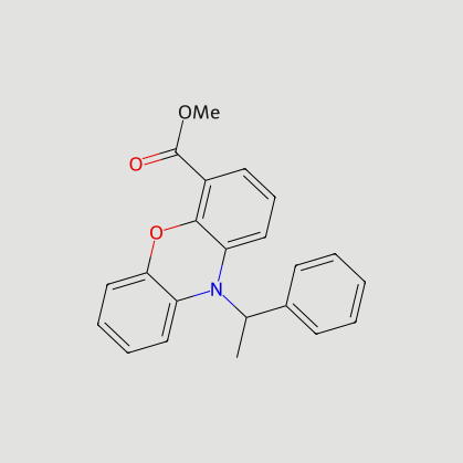 COC(=O)c1cccc2c1Oc1ccccc1N2C(C)c1ccccc1